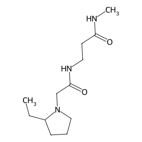 CCC1CCCN1CC(=O)NCCC(=O)NC